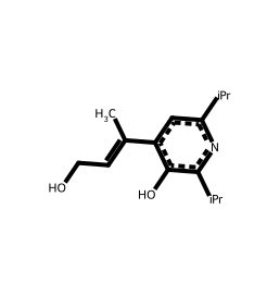 CC(=CCO)c1cc(C(C)C)nc(C(C)C)c1O